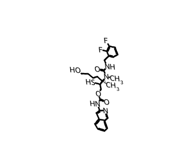 CN(C(=O)NCc1cccc(F)c1F)[C@](C)(CCCCO)C(S)COC(=O)Nc1cc2ccccc2cn1